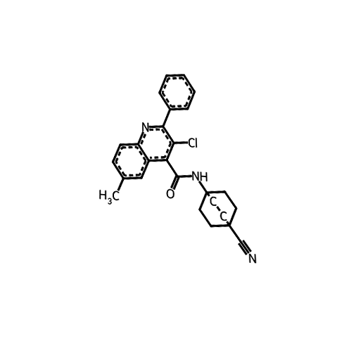 Cc1ccc2nc(-c3ccccc3)c(Cl)c(C(=O)NC34CCC(C#N)(CC3)CC4)c2c1